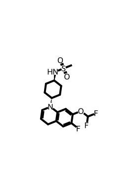 CS(=O)(=O)N[C@H]1CC[C@H](N2C=CCc3cc(F)c(OC(F)F)cc32)CC1